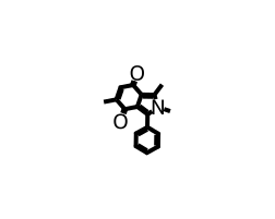 CC1=CC(=O)c2c(c(-c3ccccc3)n(C)c2C)C1=O